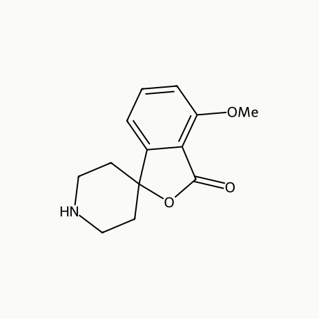 COc1cccc2c1C(=O)OC21CCNCC1